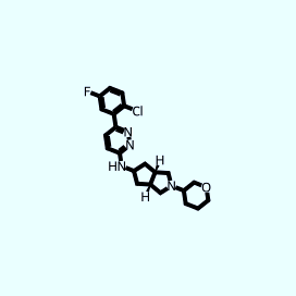 Fc1ccc(Cl)c(-c2ccc(NC3C[C@@H]4CN(C5CCCOC5)C[C@@H]4C3)nn2)c1